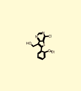 CCOc1ccccc1-c1sc2c(Cl)ncnc2c1CO